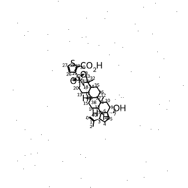 C=C(C)[C@@H]1CC[C@]2(CO)CC[C@]3(C)[C@H](CC[C@@H]4[C@@]5(C)CCN(S(=O)(=O)c6ccsc6C(=O)O)C(C)(C)C5CC[C@]43C)[C@@H]12